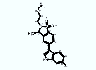 CC1c2cc(-c3c[nH]c4cc(F)ccc34)ccc2S(=O)(=O)N1CCNN